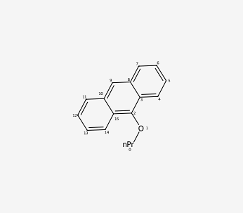 CCCOc1c2ccccc2cc2ccccc12